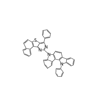 c1ccc(-c2nc(-n3c4ccccc4c4c3ccc3c5ccccc5n(-c5ccccc5)c34)nc3c2sc2ccc4ccccc4c23)cc1